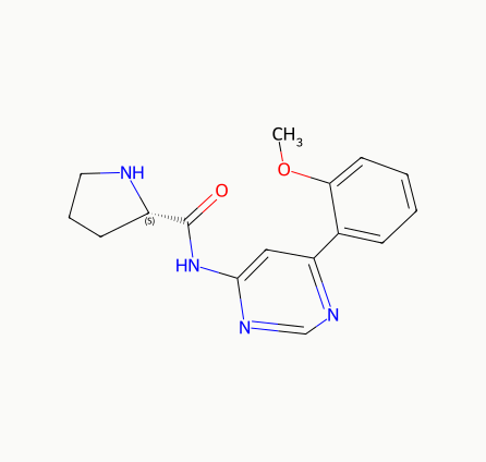 COc1ccccc1-c1cc(NC(=O)[C@@H]2CCCN2)ncn1